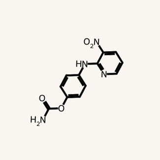 NC(=O)Oc1ccc(Nc2ncccc2[N+](=O)[O-])cc1